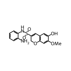 COc1cc2c(cc1O)C=C(S(=O)(=O)Nc1ccccc1N)CO2